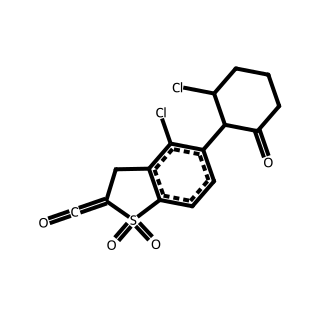 O=C=C1Cc2c(ccc(C3C(=O)CCCC3Cl)c2Cl)S1(=O)=O